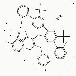 Cc1ccc(C[C](Cc2ccc(C)cc2)=[Zr]([C]2=CC=CC2)[CH]2c3cc(-c4ccccc4C)c(C(C)(C)C)cc3-c3cc(C(C)(C)C)c(-c4ccccc4C)cc32)cc1.Cl.Cl